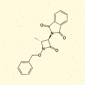 C[C@@H]1[C@@H](N2C(=O)c3ccccc3C2=O)C(=O)N1OCc1ccccc1